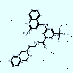 Cc1cc(Nc2cc(C(=O)NCCN3CCc4ccccc4C3)cc(C(F)(F)F)c2)c2ccccc2n1